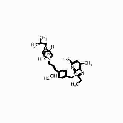 CCc1nc2c(C)cc(C)nc2n1Cc1ccc(C=CCN2C[C@H]3C[C@@H]2CN3CC(C)C)cc1.Cl.Cl